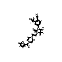 CC1(C)C(=O)N(c2ccc(C#N)c(C(F)(F)F)c2)C(=S)N1CCN1CCN(C(=O)c2cccs2)CC1